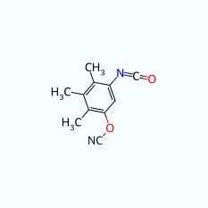 Cc1c(N=C=O)cc(OC#N)c(C)c1C